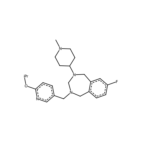 CC(C)Oc1ccc(CN2Cc3ccc(F)cc3CN(C3CCN(C)CC3)C2)cn1